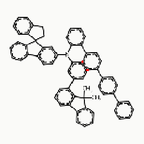 CC1(C)c2ccccc2-c2cccc(-c3cccc(N(c4ccc5c(c4)C4(CCc6ccccc64)c4ccccc4-5)c4ccccc4-c4ccc(-c5ccc(-c6ccccc6)cc5)cc4)c3)c21